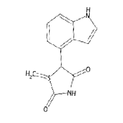 C=S1C(=O)NC(=O)C1c1cccc2[nH]ccc12